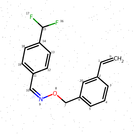 C=Cc1cccc(CO/N=[C]\c2ccc(C(F)F)cc2)c1